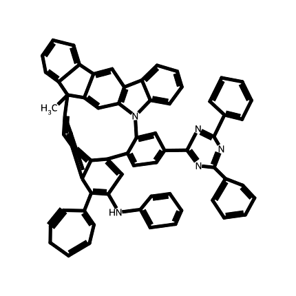 CC12c3ccc4c(cc(Nc5ccccc5)c(C5=CC=CCC#C5)c4c3)-c3ccc(-c4nc(-c5ccccc5)nc(-c5ccccc5)n4)cc3-n3c4ccccc4c4cc(c1cc43)-c1ccccc12